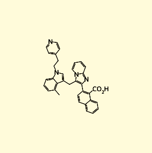 Cc1cccc2c1c(Cc1c(-c3ccc4ccccc4c3C(=O)O)nc3ccccn13)cn2CCc1ccncc1